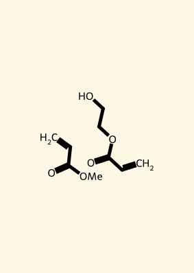 C=CC(=O)OC.C=CC(=O)OCCO